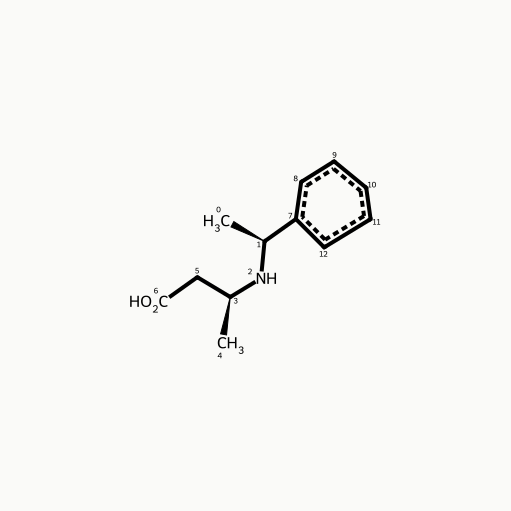 C[C@H](N[C@@H](C)CC(=O)O)c1ccccc1